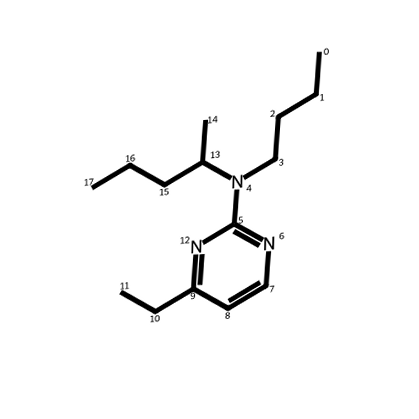 CCCCN(c1nccc(CC)n1)C(C)CCC